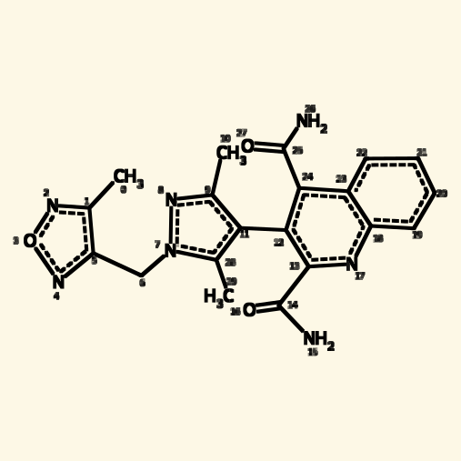 Cc1nonc1Cn1nc(C)c(-c2c(C(N)=O)nc3ccccc3c2C(N)=O)c1C